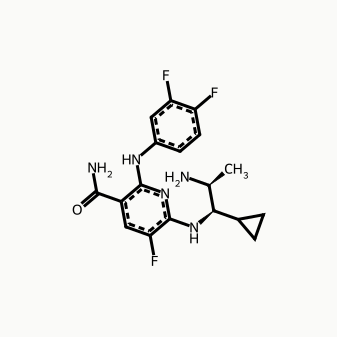 C[C@H](N)[C@H](Nc1nc(Nc2ccc(F)c(F)c2)c(C(N)=O)cc1F)C1CC1